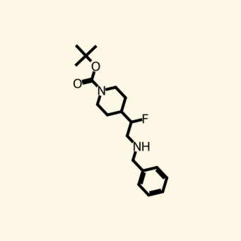 CC(C)(C)OC(=O)N1CCC(C(F)CNCc2ccccc2)CC1